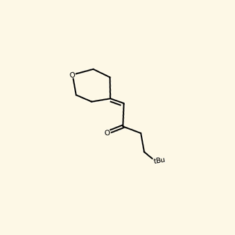 CC(C)(C)CCC(=O)C=C1CCOCC1